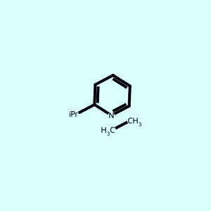 CC.CC(C)c1ccccn1